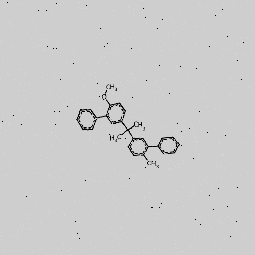 COc1ccc(C(C)(C)c2ccc(C)c(-c3ccccc3)c2)cc1-c1ccccc1